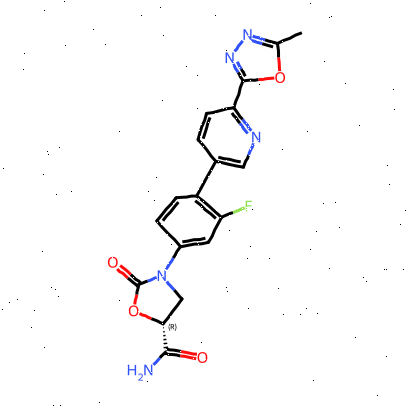 Cc1nnc(-c2ccc(-c3ccc(N4C[C@H](C(N)=O)OC4=O)cc3F)cn2)o1